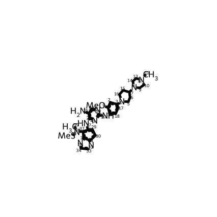 COc1cc(N2CCC(N3CCN(C)CC3)CC2)ccc1Nc1ncc(N)c(Nc2ccc3nccnc3c2N(C)SC)n1